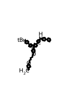 C=Cc1ccc(OCCCCCCOc2ccc(-n3c4ccc(-c5ccc(Nc6ccc(-c7ccccc7)cc6)cc5)cc4c4cc(-c5ccc(C(C)(C)C)cc5)ccc43)cc2)cc1